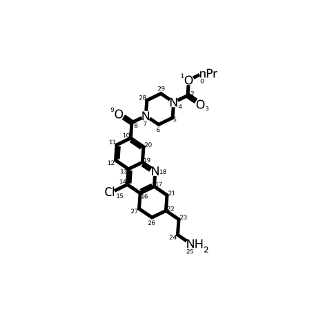 CCCOC(=O)N1CCN(C(=O)c2ccc3c(Cl)c4c(nc3c2)CC(CCN)CC4)CC1